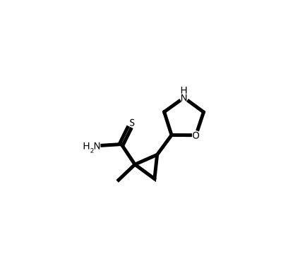 CC1(C(N)=S)CC1C1CNCO1